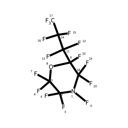 FN1C(F)(F)C(F)(F)OC(F)(C(F)(F)C(F)(F)C(F)(F)F)C1(F)F